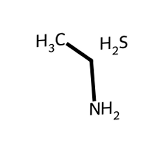 CCN.S